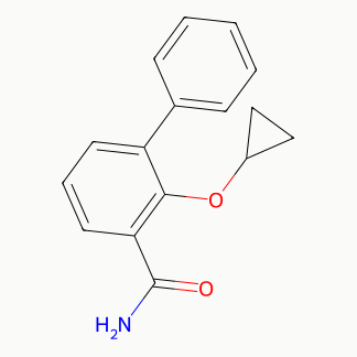 NC(=O)c1cccc(-c2ccccc2)c1OC1CC1